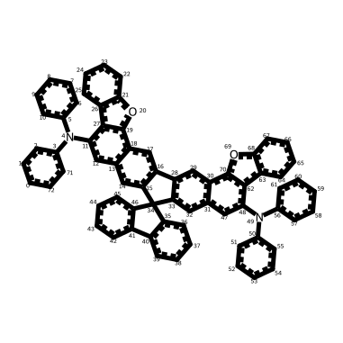 c1ccc(N(c2ccccc2)c2cc3cc4c(cc3c3oc5ccccc5c23)-c2cc3c(cc2C42c4ccccc4-c4ccccc42)cc(N(c2ccccc2)c2ccccc2)c2c4ccccc4oc32)cc1